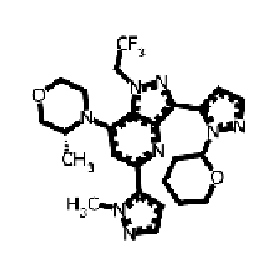 C[C@@H]1COCCN1c1cc(-c2ccnn2C)nc2c(-c3ccnn3C3CCCCO3)nn(CC(F)(F)F)c12